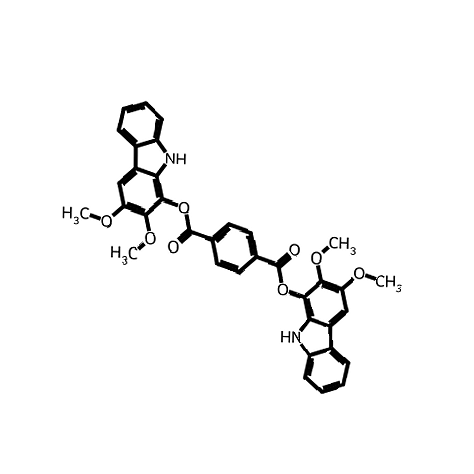 COc1cc2c([nH]c3ccccc32)c(OC(=O)c2ccc(C(=O)Oc3c(OC)c(OC)cc4c3[nH]c3ccccc34)cc2)c1OC